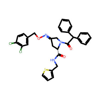 O=C(NCc1cccs1)[C@@H]1CC(=NOCc2ccc(Cl)c(Cl)c2)CN1C(=O)C(c1ccccc1)c1ccccc1